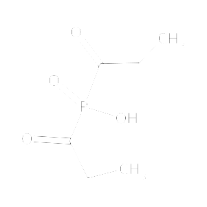 CCC(=O)P(=O)(O)C(=O)CC